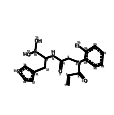 C=CC(=O)N(CC(=O)NC(Cc1ccsc1)B(O)O)c1ccccc1CC